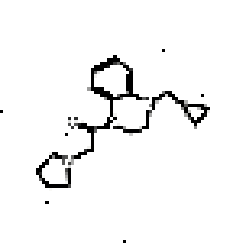 O=C(CN1CCCC1)N1CCN(CC2CC2)c2ccccc21